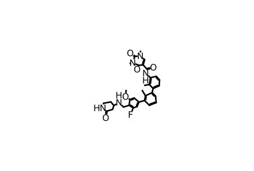 COc1cc(-c2cccc(-c3cccc(NC(=O)c4cn(C)c(=O)n(C)c4=O)c3C)c2C)cc(F)c1CNC1CCNC(=O)C1